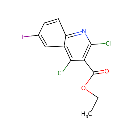 CCOC(=O)c1c(Cl)nc2ccc(I)cc2c1Cl